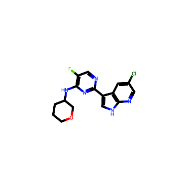 Fc1cnc(-c2c[nH]c3ncc(Cl)cc23)nc1NC1CCCOC1